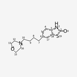 O=c1[nH]c2ccc(CCCCN3CCOCC3)cc2s1